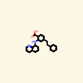 O=C(O)c1ccc(CCc2ccccc2)cc1Nc1cccc2cccnc12